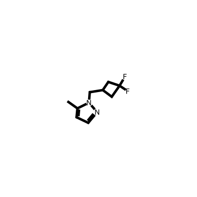 Cc1ccnn1CC1CC(F)(F)C1